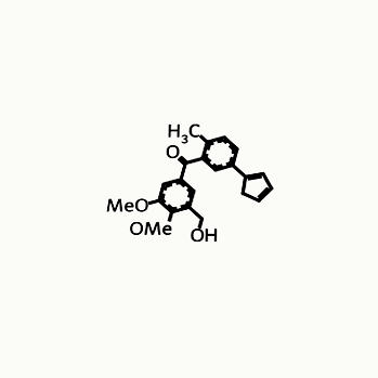 COc1cc(C(=O)c2cc(C3=CC=CC3)ccc2C)cc(CO)c1OC